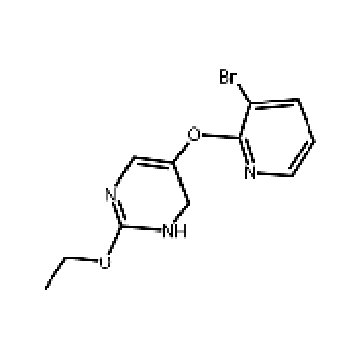 CCOC1=NC=C(Oc2ncccc2Br)CN1